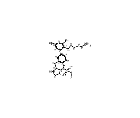 CCS(=O)(=O)NC1CCNC1Cc1cccc(-c2cc(F)cc(F)c2CCCCCN)c1